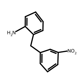 Nc1ccccc1Cc1cccc([N+](=O)[O-])c1